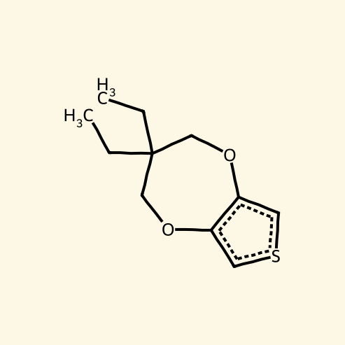 CCC1(CC)COc2cscc2OC1